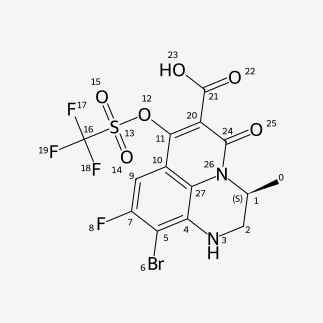 C[C@H]1CNc2c(Br)c(F)cc3c(OS(=O)(=O)C(F)(F)F)c(C(=O)O)c(=O)n1c23